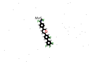 CS/C(F)=C(\F)c1ccc(C2CCC(c3ccc(-c4cc(F)c(F)c(F)c4)c(F)c3)OC2)cc1